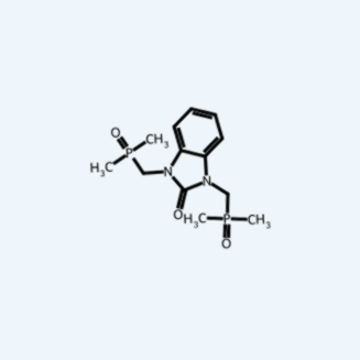 CP(C)(=O)Cn1c(=O)n(CP(C)(C)=O)c2ccccc21